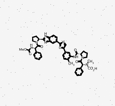 COC(=O)N[C@@H](C(=O)N1CCC[C@H]1c1nc2cc(-c3ncc(-c4ccc(C)c(NC(=O)[C@@H]5CCCN5C(=O)[C@@H](c5ccccc5)N(C)C(=O)O)c4)o3)ccc2[nH]1)c1ccccc1